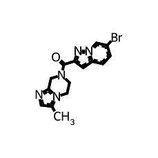 Cc1cnc2n1CCN(C(=O)c1cc3ccc(Br)cn3n1)C2